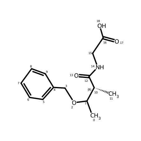 CC(OCc1ccccc1)[C@@H](C)C(=O)NCC(=O)O